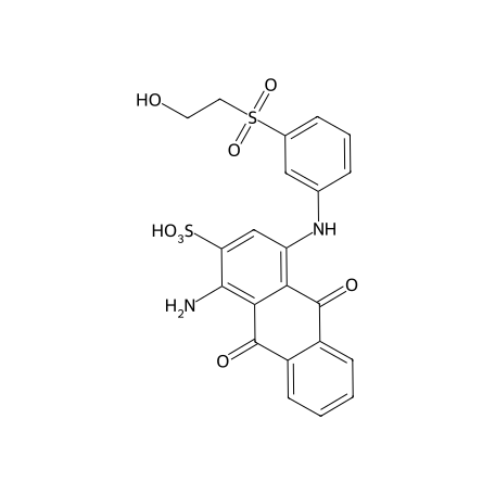 Nc1c(S(=O)(=O)O)cc(Nc2cccc(S(=O)(=O)CCO)c2)c2c1C(=O)c1ccccc1C2=O